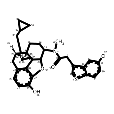 CN(C(=O)Cc1csc2ccc(Cl)cc12)C1CC[C@@]2(O)[C@H]3Cc4ccc(O)c5c4[C@@]2(CCN3CC2CC2)C1O5